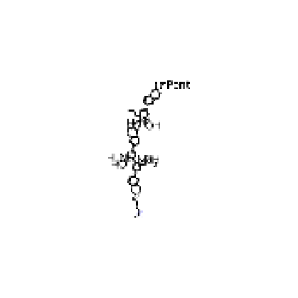 C=CCC1(CC[C@@H]2CCc3cc([C@H]4CC(C5C[C@H](c6ccc7c(c6)CC[C@@H](CCC/C=C\C)C7)C[C@@]5(N)CO)[C@](N)(CO)C4)ccc3C2)C[C@H](c2ccc3c(c2)CCC(OCCCCC)C3)C[C@@]1(N)CO